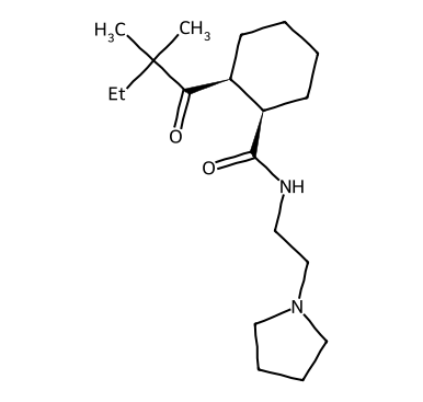 CCC(C)(C)C(=O)[C@H]1CCCC[C@H]1C(=O)NCCN1CCCC1